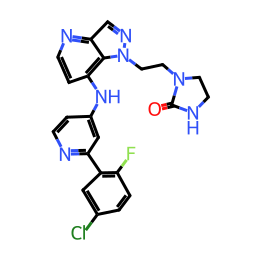 O=C1NCCN1CCn1ncc2nccc(Nc3ccnc(-c4cc(Cl)ccc4F)c3)c21